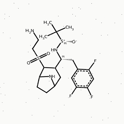 CC(C)(C)[S@+]([O-])N[C@H](Cc1cc(F)c(F)cc1F)C1CC2CCC(N2)C1S(=O)(=O)CCN